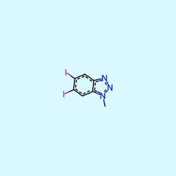 Cn1nnc2cc(I)c(I)cc21